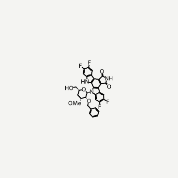 CO[C@@H]1C[C@@H](CO)O[C@@H](n2c3cc(F)c(F)cc3c3c4c(c5c6cc(F)c(F)cc6[nH]c5c32)C(=O)NC4=O)[C@@H]1OCc1ccccc1